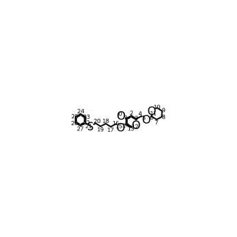 O=c1cc(COC2CCCCO2)occ1OCCCCCSc1ccccc1